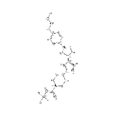 COOSc1ccc(N2CCC(c3noc(C4CCN(C(=O)OC(C)(C)C)CC4)n3)C2)cc1